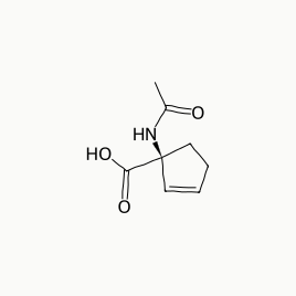 CC(=O)N[C@]1(C(=O)O)C=CCC1